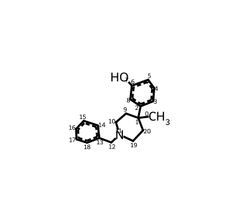 CC1(c2cccc(O)c2)CCN(Cc2ccccc2)CC1